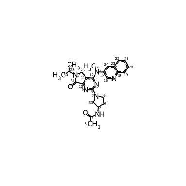 CC(=O)NC1CCN(c2nc3c(c(N(C)c4cnc5ccccc5c4)n2)CN(C(C)C)C3=O)C1